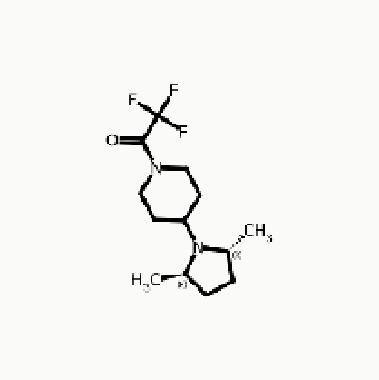 C[C@@H]1CC[C@@H](C)N1C1CCN(C(=O)C(F)(F)F)CC1